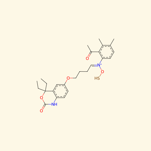 CCC1(CC)OC(=O)Nc2ccc(OCCCC=[N+](OS)c3ccc(C)c(C)c3C(C)=O)cc21